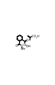 C=C(C)C(=O)O.CCCOC(=O)c1ccccc1C(=O)OO